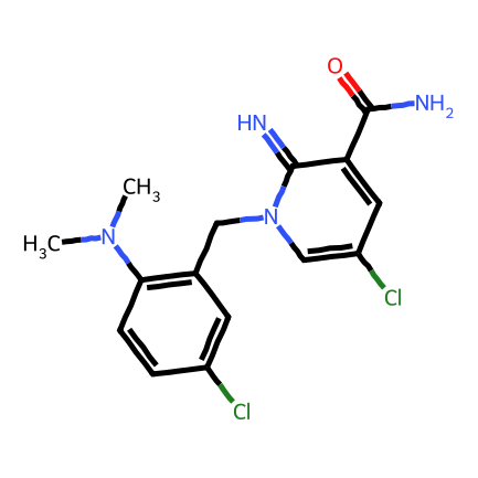 CN(C)c1ccc(Cl)cc1Cn1cc(Cl)cc(C(N)=O)c1=N